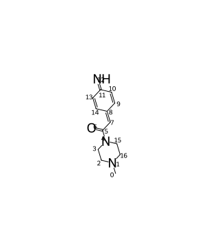 CN1CCN(C(=O)C=C2C=CC(=N)C=C2)CC1